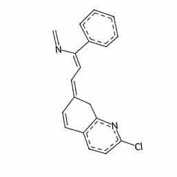 C=N/C(=C\C=C1\C=Cc2ccc(Cl)nc2C1)c1ccccc1